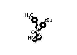 Cc1ccc(CCN(Cc2ccc(C(C)(C)C)cc2)C(=O)c2nccc3cc[nH]c23)cc1